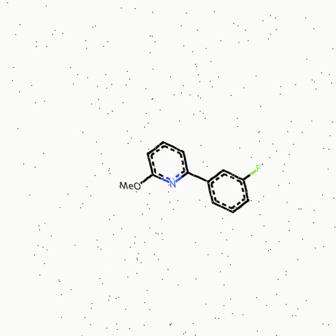 COc1cccc(-c2cc[c]c(F)c2)n1